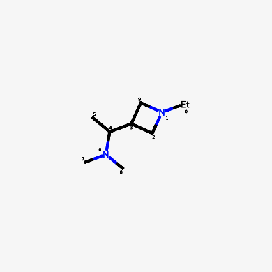 CCN1CC(C(C)N(C)C)C1